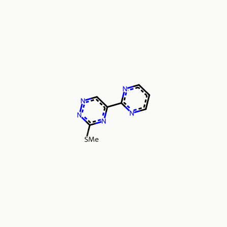 CSc1nncc(-c2ncccn2)n1